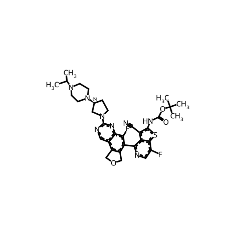 CC(C)N1CCN([C@H]2CCN(c3ncc4c5c(c(-c6ncc(F)c7sc(NC(=O)OC(C)(C)C)c(C#N)c67)c(F)c4n3)COC5)C2)CC1